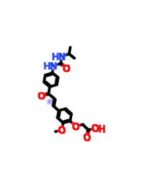 COc1cc(/C=C/C(=O)c2ccc(NC(=O)NC(C)C)cc2)ccc1OCC(=O)O